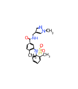 Cc1ccccc1N(c1cc(C(=O)NCc2cnn(C)c2)ccc1C)[SH](=O)=O